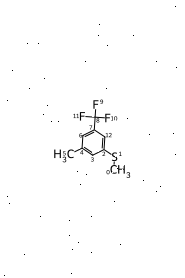 CSc1cc(C)cc(C(F)(F)F)c1